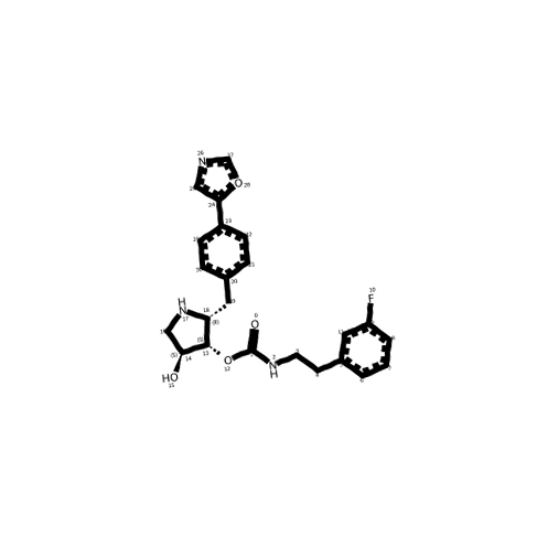 O=C(NCCc1cccc(F)c1)O[C@@H]1[C@@H](O)CN[C@@H]1Cc1ccc(-c2cnco2)cc1